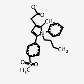 CCCC[N+]1(c2ccccc2)C(c2ccc(S(C)(=O)=O)cc2)=CC(CC(=O)[O-])=C1C